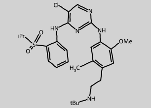 COc1cc(CCNC(C)(C)C)c(C)cc1Nc1ncc(Cl)c(Nc2ccccc2S(=O)(=O)C(C)C)n1